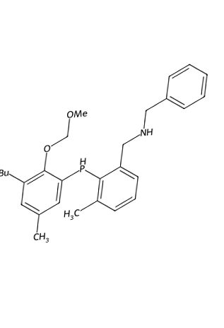 COCOc1c(Pc2c(C)cccc2CNCc2ccccc2)cc(C)cc1C(C)(C)C